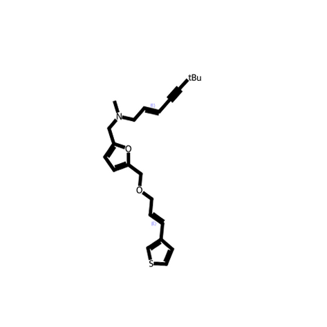 CN(C/C=C/C#CC(C)(C)C)Cc1ccc(COC/C=C/c2ccsc2)o1